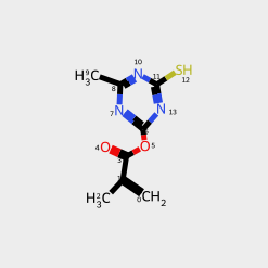 C=C(C)C(=O)Oc1nc(C)nc(S)n1